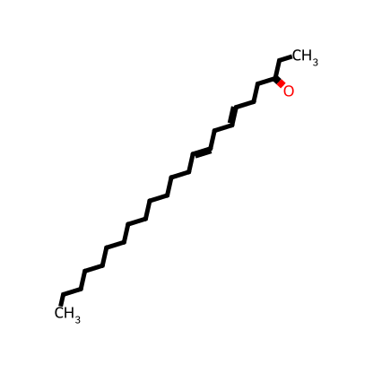 CCCCCCCCCCCCCC=CCC=CCCC(=O)CC